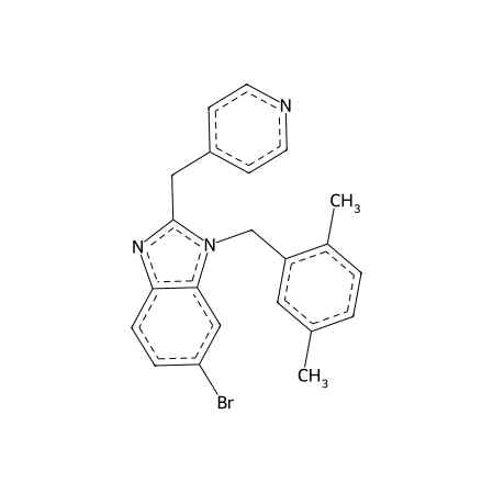 Cc1ccc(C)c(Cn2c(Cc3ccncc3)nc3ccc(Br)cc32)c1